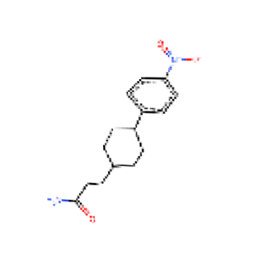 NC(=O)CCC1CCC(c2ccc([N+](=O)[O-])cc2)CC1